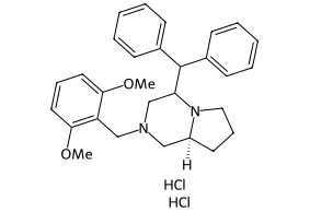 COc1cccc(OC)c1CN1CC(C(c2ccccc2)c2ccccc2)N2CCC[C@H]2C1.Cl.Cl